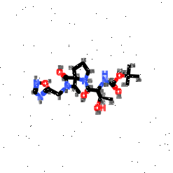 CC1N(Cc2ncno2)C(=O)C12CCCN2C(=O)C(NC(=O)OC(C)(C)C)[C@@H](C)O